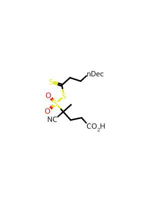 CCCCCCCCCCCCC(=S)SS(=O)(=O)C(C)(C#N)CCC(=O)O